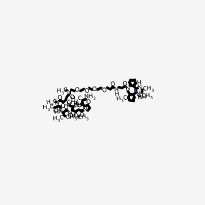 CCC(C)C(C(CC(=O)N1CCCC1C(OC)C(C)C(N)=O)OC)N(C)C(=O)[C@@H](NC(=O)C(C(C)C)N(C)C(=O)CCCC(=O)N(C)CCOCCOCCOCCOCCC(=O)NCCC(=O)N1CC2=C(C=CCC2C)/C(N=N)=C(/N[C@@H](C)CC)c2ccccc21)C(C)C